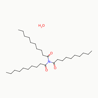 CCCCCCCCCC(=O)N(C(=O)CCCCCCCCC)C(=O)CCCCCCCCC.O